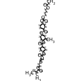 C=CC(=O)OCCCCOC(=O)Oc1ccc(C(=O)Oc2ccc(OC(=O)c3ccc(OC(=O)OCCCCOC(=O)C(C)CC)cc3)c(C)c2)cc1